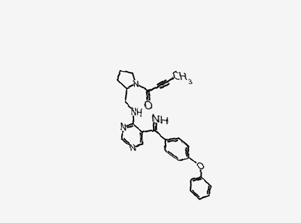 CC#CC(=O)N1CCCC1CNc1ncncc1C(=N)c1ccc(Oc2ccccc2)cc1